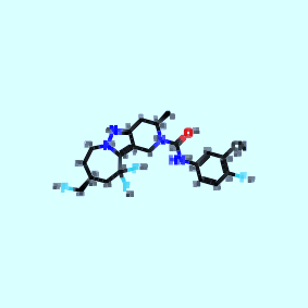 C[C@@H]1Cc2nn3c(c2CN1C(=O)Nc1ccc(F)c(C#N)c1)C(F)(F)C[C@@H](CF)CC3